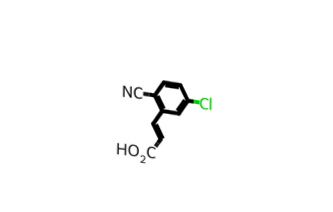 N#Cc1ccc(Cl)cc1/C=C/C(=O)O